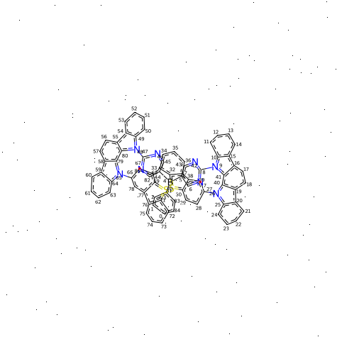 c1ccc(B(c2cnc(-n3c4ccccc4c4ccc5c6ccccc6n(-c6ccc7sc8ccccc8c7c6)c5c43)nc2)c2cnc(-n3c4ccccc4c4ccc5c6ccccc6n(-c6ccc7sc8ccccc8c7c6)c5c43)nc2)cc1